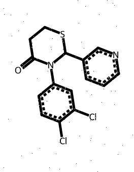 O=C1CCSC(c2cccnc2)N1c1ccc(Cl)c(Cl)c1